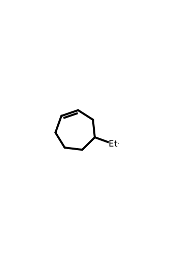 C[CH]C1CC=CCCC1